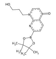 CC1(C)OB(c2ccc3c(=O)ccn(CCCO)c3n2)OC1(C)C